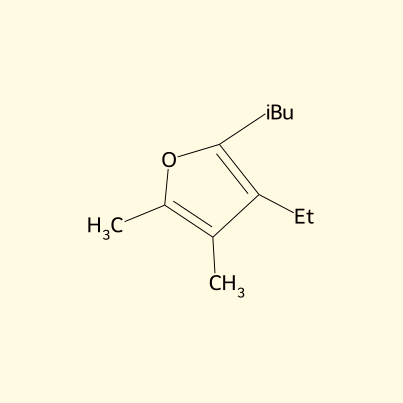 CCc1c(C(C)CC)oc(C)c1C